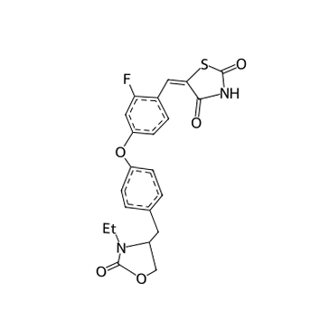 CCN1C(=O)OCC1Cc1ccc(Oc2ccc(C=C3SC(=O)NC3=O)c(F)c2)cc1